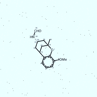 COc1cccc2c1OC1(C)CC2C[C@H](NC=O)C1